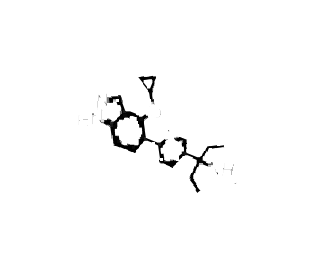 CCC(N)(CC)c1ccc(-c2ccc3[nH]ncc3c2OC2CC2)nc1